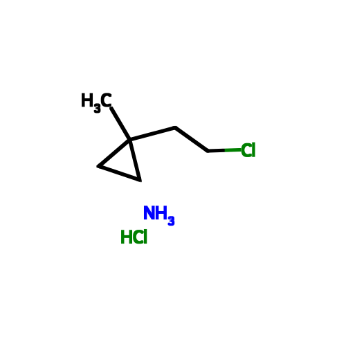 CC1(CCCl)CC1.Cl.N